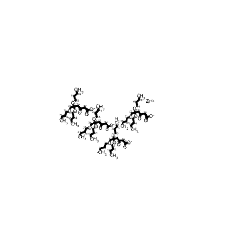 CCCCOCC(CC(=O)CC(=O)[O-])(OCCCC)OCCCC.CCCCOCC(CC(=O)CC(=O)[O-])(OCCCC)OCCCC.CCCCOCC(CC(=O)CC(=O)[O-])(OCCCC)OCCCC.CCCCOCC(CC(=O)CC(=O)[O-])(OCCCC)OCCCC.[Zr+4]